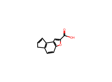 O=C(O)c1cc2c3c(ccc2o1)CC=C3